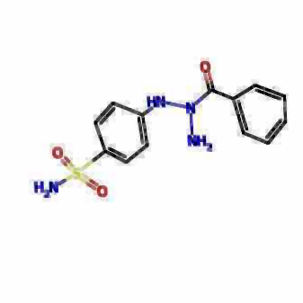 NN(Nc1ccc(S(N)(=O)=O)cc1)C(=O)c1ccccc1